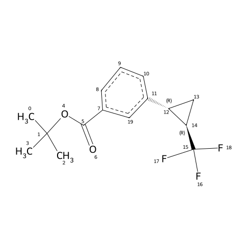 CC(C)(C)OC(=O)c1cccc([C@@H]2C[C@H]2C(F)(F)F)c1